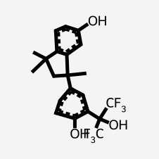 CC1(C)CC(C)(c2ccc(O)c(C(O)(C(F)(F)F)C(F)(F)F)c2)c2cc(O)ccc21